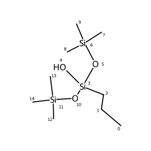 CCC[Si](O)(O[Si](C)(C)C)O[Si](C)(C)C